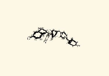 Fc1ccc(N2CCN(Cc3ccc(Nc4ccnc5cc(Cl)ccc45)cc3)CC2)cc1